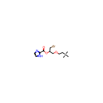 C[Si](C)(C)CCOCC(CBr)OC(=O)c1ncc[nH]1